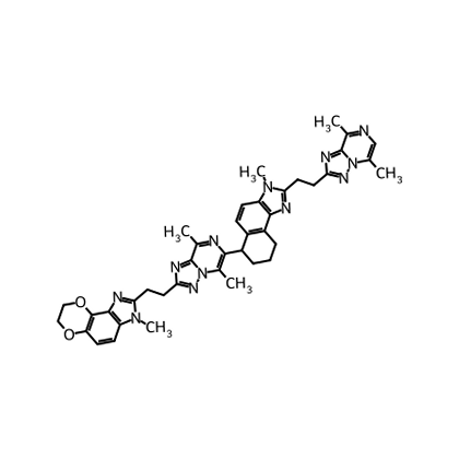 Cc1ncc(C)n2nc(CCc3nc4c5c(ccc4n3C)C(c3nc(C)c4nc(CCc6nc7c8c(ccc7n6C)OCCO8)nn4c3C)CCC5)nc12